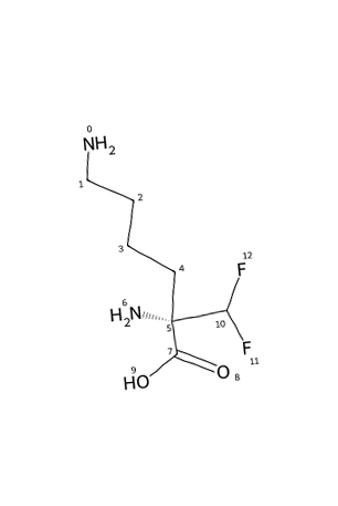 NCCCC[C@](N)(C(=O)O)C(F)F